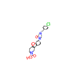 O=C(O)N1CCc2oc3cc(N4CCN(CCc5ccc(Cl)cc5)CC4=O)ccc3c2C1